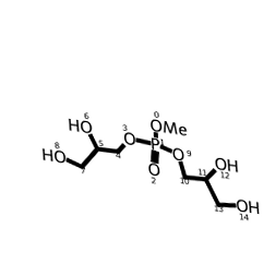 COP(=O)(OCC(O)CO)OCC(O)CO